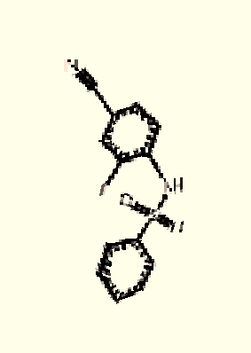 N#Cc1ccc(NS(=O)(=O)c2ccccc2)c(I)c1